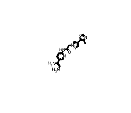 Cc1ncsc1-c1cnn(CC(=O)Nc2ccc(/C(N)=C/N)cn2)c1